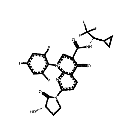 O=C(N[C@@H](C1CC1)C(F)(F)F)c1cn(-c2c(F)cc(F)cc2F)c2nc(N3CC[C@H](O)C3=O)ccc2c1=O